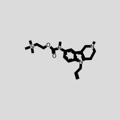 C=CCn1c2c(c3cc(N(C)C(=O)OCC[Si](C)(C)C)ccc31)CN(C)CC2